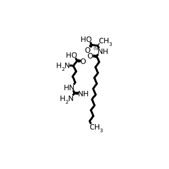 CCCCCCCCCCCCCC(=O)N[C@@H](C)C(=O)O.N=C(N)NCCCC(N)C(=O)O